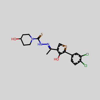 C/C(=N\NC(=S)N1CCC(O)CC1)c1csc(-c2ccc(Cl)c(Cl)c2)c1O